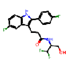 O=C(CCc1c(-c2ccc(F)cc2)[nH]c2ccc(F)cc12)NC(CO)C(F)F